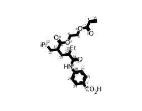 C=CC(=O)OCCOC(=O)C(CC(C)C)CC(CC)C(=O)Nc1ccc(C(=O)O)cc1